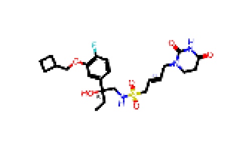 CC[C@@](O)(CNS(=O)(=O)C/C=C/CN1CCC(=O)NC1=O)c1ccc(F)c(OCC2CCC2)c1